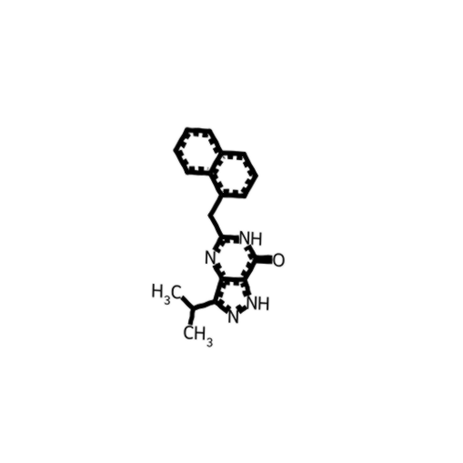 CC(C)c1n[nH]c2c(=O)[nH]c(Cc3cccc4ccccc34)nc12